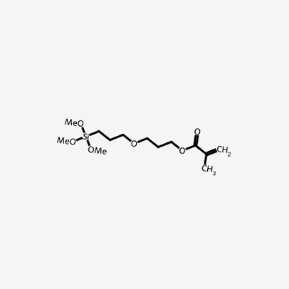 C=C(C)C(=O)OCCCOCCC[Si](OC)(OC)OC